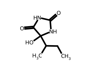 CCC(C)C1(O)NC(=O)NC1=O